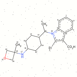 CCc1c(C(=O)O)c2ccccc2n1C(C)C1CCC(NC2(C)COC2)CC1